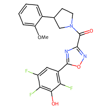 COc1ccccc1C1CCN(C(=O)c2noc(-c3cc(F)c(F)c(O)c3F)n2)C1